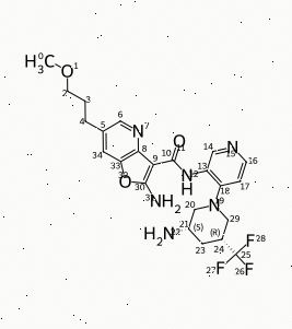 COCCCc1cnc2c(C(=O)Nc3cnccc3N3C[C@@H](N)C[C@@H](C(F)(F)F)C3)c(N)oc2c1